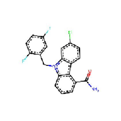 NC(=O)c1cccc2c1c1[c]cc(Cl)cc1n2Cc1cc(F)ccc1F